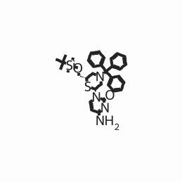 CC(C)(C)[Si](C)(C)OC[C@@H]1CN(C(c2ccccc2)(c2ccccc2)c2ccccc2)C[C@H](n2ccc(N)nc2=O)S1